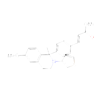 COC(=O)/C=C/c1ccc(C2(C)c3ccc(OC)cc3CCN2c2ccsc2)cc1